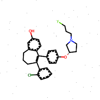 Oc1ccc2c(c1)CCCC(c1ccccc1Cl)=C2c1ccc(O[C@H]2CCN(CCCF)C2)cc1